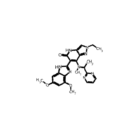 CCn1cc2[nH]c(=O)c(-c3nc4c(OC)cc(OC)cc4[nH]3)c(N(C)C(C)c3ncccn3)c2n1